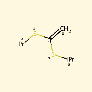 C=C(SC(C)C)SC(C)C